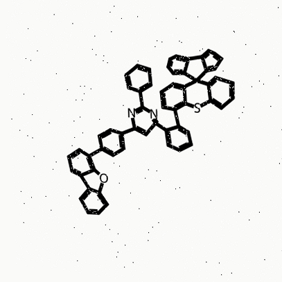 c1ccc(-c2nc(-c3ccc(-c4cccc5c4oc4ccccc45)cc3)cc(-c3ccccc3-c3cccc4c3Sc3ccccc3C43c4ccccc4-c4ccccc43)n2)cc1